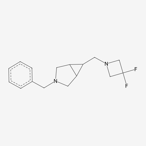 FC1(F)CN(CC2C3CN(Cc4ccccc4)CC32)C1